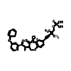 CN1C(=O)C(NC(=O)c2cc(Oc3ccccc3)ccn2)COc2ccc(C#CC(C)(C)COP(=O)(O)O)cc21